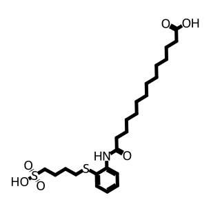 O=C(O)CCCCCCCCCCCCC(=O)Nc1ccccc1SCCCCS(=O)(=O)O